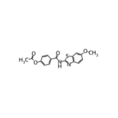 COc1ccc2nc(NC(=O)c3ccc(OC(C)=O)cc3)sc2c1